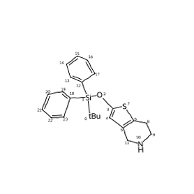 CC(C)(C)[Si](Oc1cc2c(s1)CCNC2)(c1ccccc1)c1ccccc1